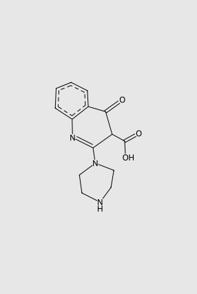 O=C(O)C1C(=O)c2ccccc2N=C1N1CCNCC1